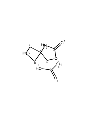 CC(=O)O.O=C1NC2(CNC2)CO1